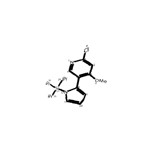 COc1cc(Cl)ncc1-c1cccn1[Si](C(C)C)(C(C)C)C(C)C